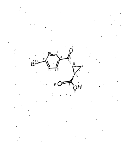 O=C(O)[C@@H]1C[C@H]1C(=O)c1ccc(Br)cc1